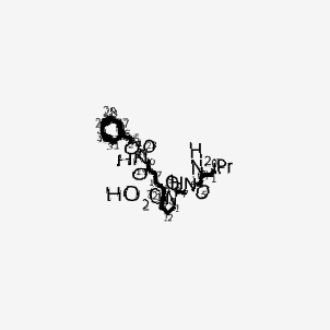 CC(C)C[C@H](N)C(=O)NCC(=O)N1CCC[C@@]1(CCCC(=O)CNC(=O)OCc1ccccc1)C(=O)O